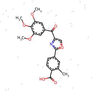 COc1cc(C(=O)c2coc(-c3ccc(C(=O)O)c(C)c3)n2)cc(OC)c1OC